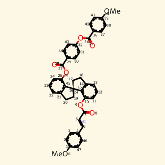 COc1ccc(/C=C/C(=O)Oc2cccc3c2[C@]2(CC3)CCc3cccc(OC(=O)c4ccc(OC(=O)c5ccc(OC)cc5)cc4)c32)cc1